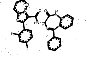 O=C(N[C@H]1N=C(c2ccccc2)c2ccccc2NC1=O)c1c(-c2ccc(F)cc2F)nc2cccnn12